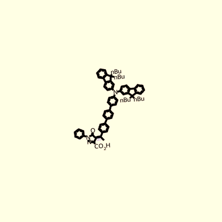 CCCCC1(CCCC)c2ccccc2-c2ccc(N(c3ccc(-c4ccc(-c5ccc(/C(C)=C6\C(=O)N(c7ccccc7)N=C6C(=O)O)cc5)cc4)cc3)c3ccc4c(c3)C(CCCC)(CCCC)c3ccccc3-4)cc21